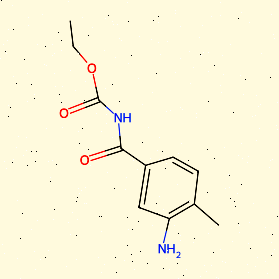 CCOC(=O)NC(=O)c1ccc(C)c(N)c1